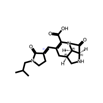 CC(C)CN1CC/C(=C\C2=C(C(=O)O)N3C(=O)[C@H]4NC[C@@H](C2)[C@H]43)C1=O